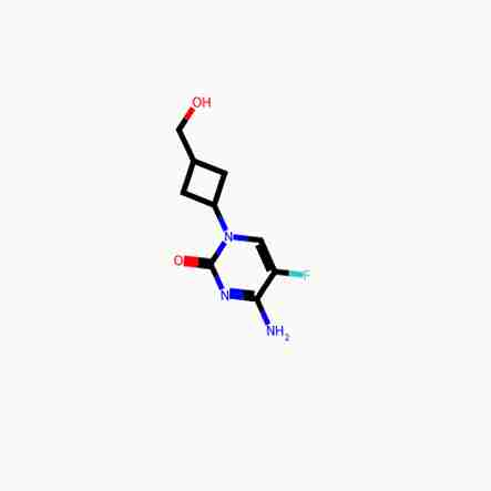 Nc1nc(=O)n(C2CC(CO)C2)cc1F